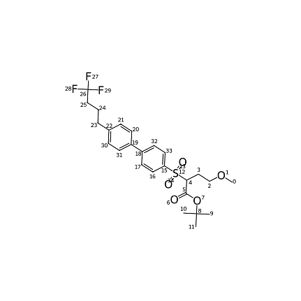 COCCC(C(=O)OC(C)(C)C)S(=O)(=O)c1ccc(-c2ccc(CCCC(F)(F)F)cc2)cc1